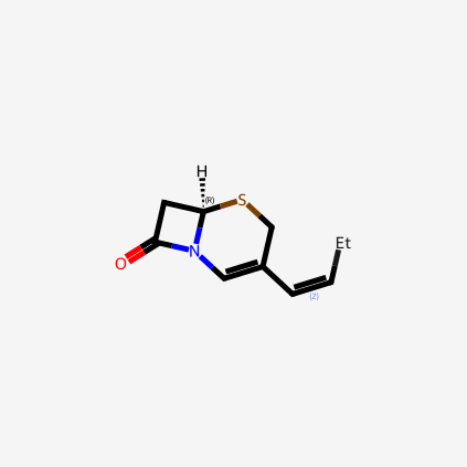 CC/C=C\C1=CN2C(=O)C[C@H]2SC1